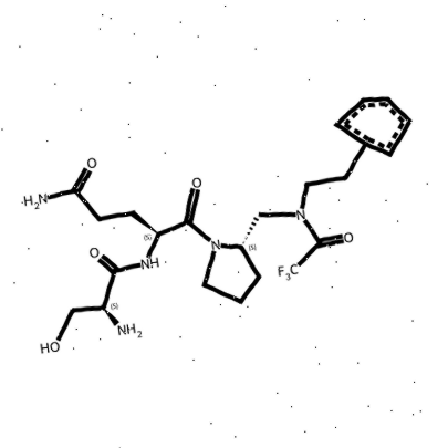 NC(=O)CC[C@H](NC(=O)[C@@H](N)CO)C(=O)N1CCC[C@H]1CN(CCc1ccccc1)C(=O)C(F)(F)F